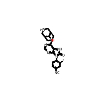 [C-]#[N+]c1ccc(-n2c(=O)[nH]c3c(OC4C5CNCC4COC5)ncnc32)c(F)c1